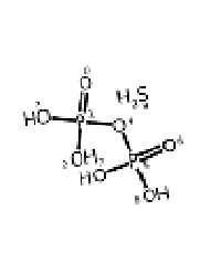 O=P(O)(O)OP(=O)(O)O.S